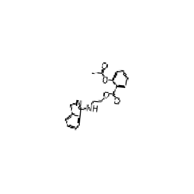 CC(=O)Oc1ccccc1C(=O)OCCNC1=NCc2ccccc21